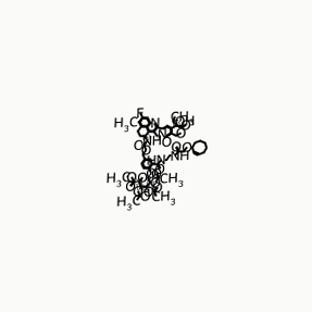 CC[C@@]1(O)C(=O)OCc2c1cc1n(c2=O)Cc2c-1nc1cc(F)c(C)c3c1c2[C@@H](NC(=O)OCc1ccc(O[C@@H]2O[C@H](C(=O)OC)[C@@H](OC(C)=O)[C@H](OC(C)=O)[C@H]2OC(C)=O)c(C(=O)NCCNC(=O)COC2C#CCCCCC2)c1)CC3